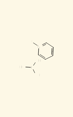 F[n+]1ccccc1.OB(O)O